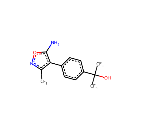 Nc1onc(C(F)(F)F)c1-c1ccc(C(O)(C(F)(F)F)C(F)(F)F)cc1